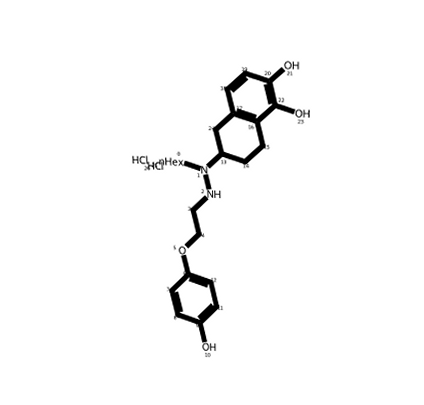 CCCCCCN(NCCOc1ccc(O)cc1)C1CCc2c(ccc(O)c2O)C1.Cl.Cl